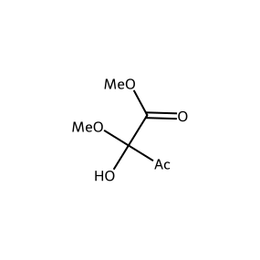 COC(=O)C(O)(OC)C(C)=O